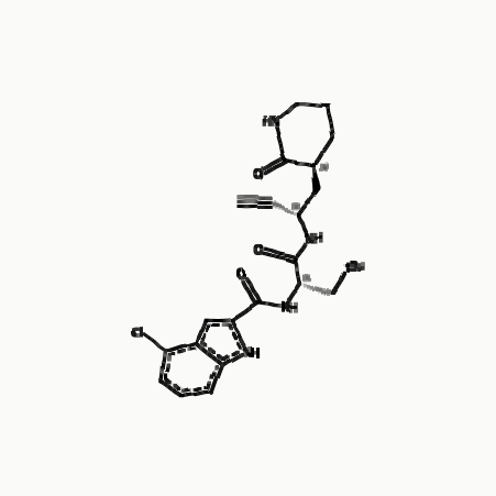 C#C[C@H](C[C@@H]1CCCNC1=O)NC(=O)[C@H](CC(C)(C)C)NC(=O)c1cc2c(Cl)cccc2[nH]1